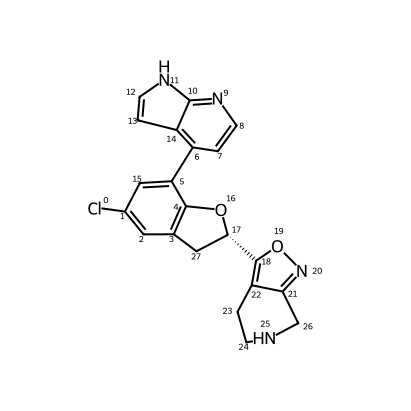 Clc1cc2c(c(-c3ccnc4[nH]ccc34)c1)O[C@H](c1onc3c1CCNC3)C2